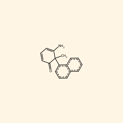 CC1(c2cccc3ccccc23)C(=O)C=CC=C1N